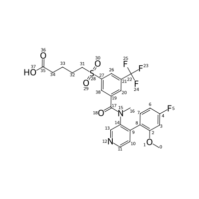 COc1cc(F)ccc1-c1ccncc1N(C)C(=O)c1cc(C(F)(F)F)cc(S(=O)(=O)CCCCC(=O)O)c1